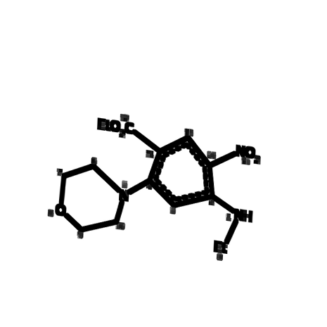 CCNc1cc(N2CCOCC2)c(C(=O)OCC)cc1[N+](=O)[O-]